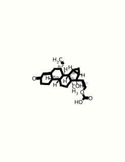 C=C[C@H]1CC2=CC(=O)CC[C@@H]2[C@H]2CC[C@@]3(C)[C@@H]([C@H]4C[C@H]4[C@@]3(O)/C=C\OC(=O)O)[C@@H]21